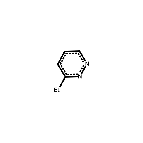 [CH2]Cc1[c]ccnn1